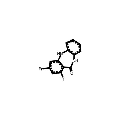 O=C1Nc2ccccc2Nc2cc(Br)cc(F)c21